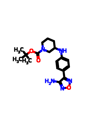 CC(C)(C)OC(=O)N1CCCC(Nc2ccc(-c3nonc3N)cc2)C1